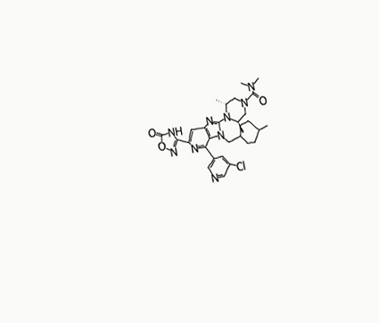 CC1CCC(Cn2c(N3[C@H](C)CN(C(=O)N(C)C)C[C@H]3C)nc3cc(-c4noc(=O)[nH]4)nc(-c4cncc(Cl)c4)c32)CC1